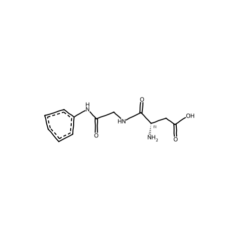 N[C@@H](CC(=O)O)C(=O)NCC(=O)Nc1ccccc1